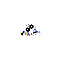 CN1c2cc(-c3cc(Oc4ncc(C#N)c(N)n4)ccc3C#N)ccc2N(CC2CC2(F)F)S1(O)O